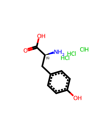 Cl.Cl.Cl.N[C@@H](Cc1ccc(O)cc1)C(=O)O